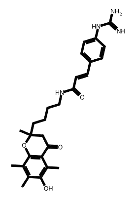 Cc1c(C)c2c(c(C)c1O)C(=O)CC(C)(CCCCNC(=O)C=Cc1ccc(NC(=N)N)cc1)O2